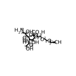 C#CCOCCOCCO[C@]1(C(=O)O)C[C@H](O)[C@@H](NC(=O)CO)[C@H]([C@H](O)[C@H](O)CN)O1